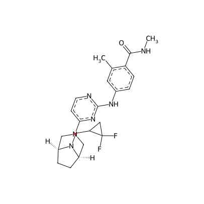 CNC(=O)c1ccc(Nc2nccc(N3C[C@H]4CC[C@@H](C3)N4CC3CC3(F)F)n2)cc1C